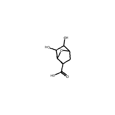 O=C(O)C1CC2OC1C(O)C2O